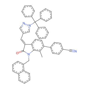 Cc1c(-c2ccc(C#N)cc2)ccc2c1N(Cc1cccc3ccccc13)C(=O)C2=Cc1cnn(C(c2ccccc2)(c2ccccc2)c2ccccc2)c1